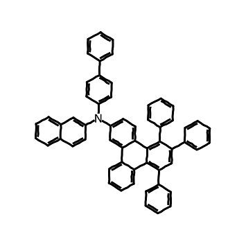 c1ccc(-c2ccc(N(c3ccc4ccccc4c3)c3ccc4c(c3)c3ccccc3c3c(-c5ccccc5)cc(-c5ccccc5)c(-c5ccccc5)c43)cc2)cc1